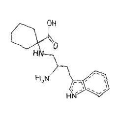 NC(CNC1(C(=O)O)CCCCC1)Cc1c[nH]c2ccccc12